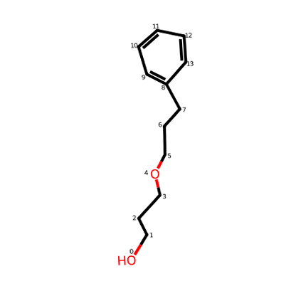 OCCCOCCCc1ccccc1